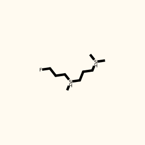 C[SiH](C)CCC[SiH](C)CCCF